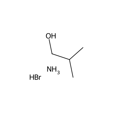 Br.CC(C)CO.N